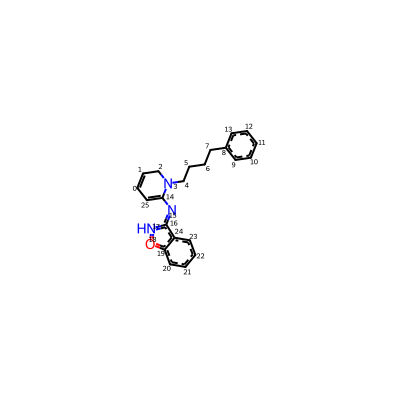 C1=CCN(CCCCc2ccccc2)C(N=c2[nH]oc3ccccc23)=C1